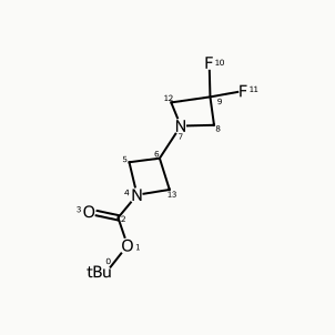 CC(C)(C)OC(=O)N1CC(N2CC(F)(F)C2)C1